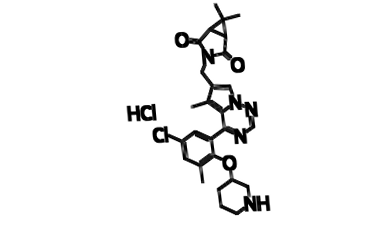 Cc1cc(Cl)cc(-c2ncnn3cc(CN4C(=O)C5C(C4=O)C5(C)C)c(C)c23)c1OC1CCCNC1.Cl